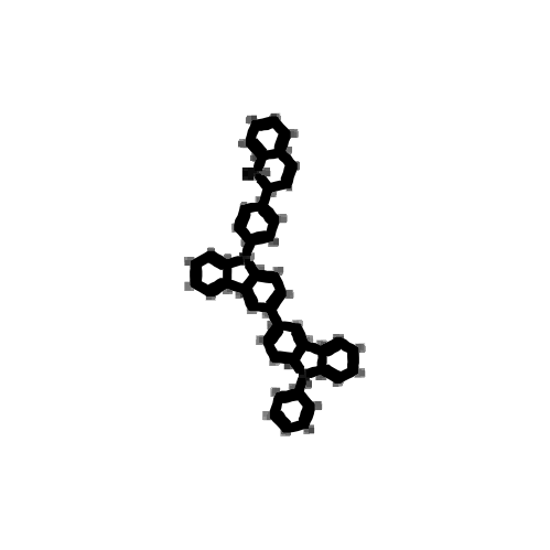 C1=CC(c2ccc(-n3c4ccccc4c4cc(-c5ccc6c(c5)c5ccccc5n6-c5ccccc5)ccc43)cc2)Nc2ccccc21